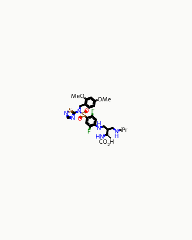 COc1ccc(CN(c2ncns2)S(=O)(=O)c2cc(F)c(NCC(CNC(C)C)[C@@H](C)NC(=O)O)cc2F)c(OC)c1